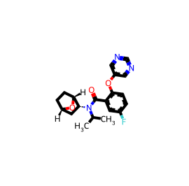 CC(C)N(C(=O)c1cc(F)ccc1Oc1cncnc1)[C@@H]1C[C@@H]2CC[C@H]1O2